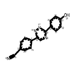 N#Cc1ccc(-c2cnc(-c3ccc(O)cc3)nn2)cc1